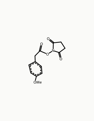 COc1ccc(CC(=O)ON2C(=O)CCC2=O)cc1